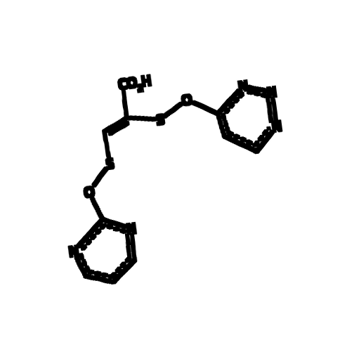 O=C(O)C(=CSOc1ncccn1)SOc1ccnnn1